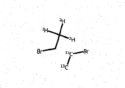 [13CH3][13CH2]Br.[2H]C([2H])([2H])CBr